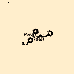 COc1cccc(Oc2c(NS(=O)(=O)c3ccc(C(C)(C)C)cc3)ncnc2OCc2ccccn2)c1